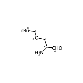 CCCCCOC[C@H](N)C=O